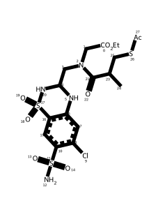 CCOC(=O)CN(CC1Nc2cc(Cl)c(S(N)(=O)=O)cc2S(=O)(=O)N1)C(=O)C(C)CSC(C)=O